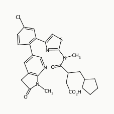 CN(C(=O)C(CC(=O)O)CC1CCCC1)c1nc(-c2cc(Cl)ccc2-c2cnc3c(c2)CC(=O)N3C)cs1